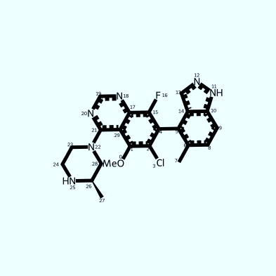 COc1c(Cl)c(-c2c(C)ccc3[nH]ncc23)c(F)c2ncnc(N3CCN[C@H](C)C3)c12